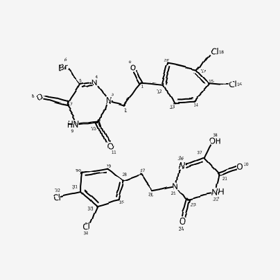 O=C(Cn1nc(Br)c(=O)[nH]c1=O)c1ccc(Cl)c(Cl)c1.O=c1[nH]c(=O)n(CCc2ccc(Cl)c(Cl)c2)nc1O